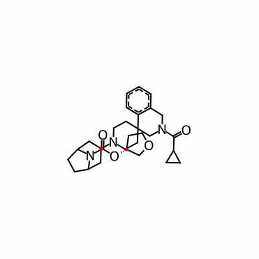 O=C(C1CC1)N1Cc2ccccc2C2(CCN(C3CC4CCC(C3)N4C(=O)O[C@@H]3CCOC3)CC2)C1